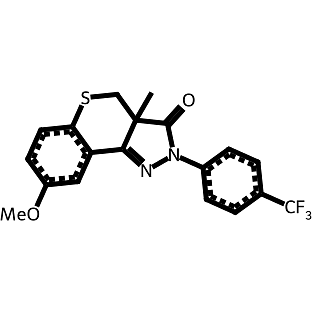 COc1ccc2c(c1)C1=NN(c3ccc(C(F)(F)F)cc3)C(=O)C1(C)CS2